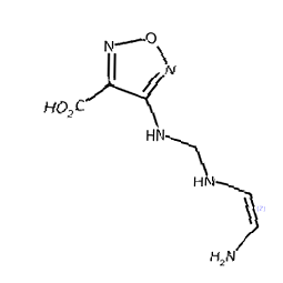 N/C=C\NCNc1nonc1C(=O)O